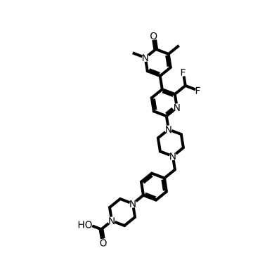 Cc1cc(-c2ccc(N3CCN(Cc4ccc(N5CCN(C(=O)O)CC5)cc4)CC3)nc2C(F)F)cn(C)c1=O